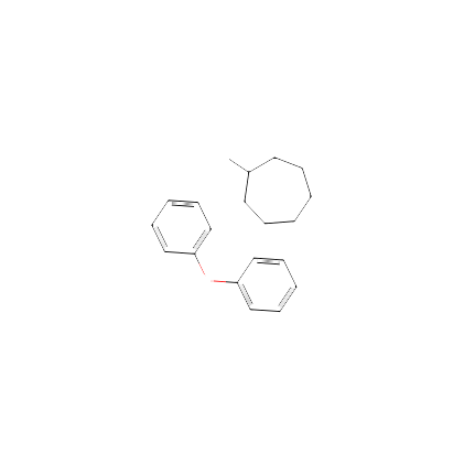 CC1CCCCCC1.c1ccc(Oc2ccccc2)cc1